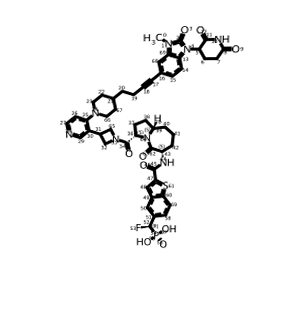 Cn1c(=O)n(C2CCC(=O)NC2=O)c2ccc(C#CCCC3CCN(c4ccncc4C4CN(C(=O)[C@@H]5CC[C@@H]6CCC[C@H](NC(=O)c7cc8cc([C@H](F)P(=O)(O)O)ccc8s7)C(=O)N65)C4)CC3)cc21